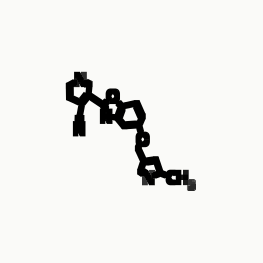 CC1C=C(COc2ccc3oc(-c4cnccc4C#N)nc3c2)C=N1